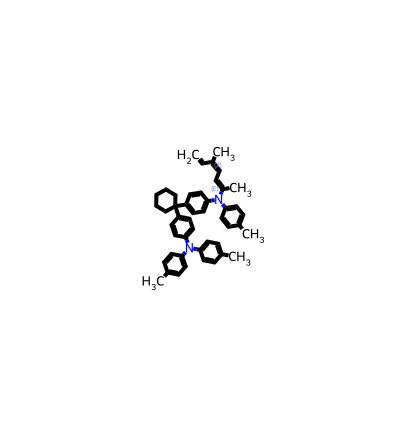 C=C/C(C)=C\C=C(/C)N(c1ccc(C)cc1)c1ccc(C2(c3ccc(N(c4ccc(C)cc4)c4ccc(C)cc4)cc3)CCCCC2)cc1